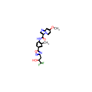 COc1ccn2c(C(=O)Nc3ccc(-c4nc(CC(O)C(F)F)no4)cc3C)cnc2c1